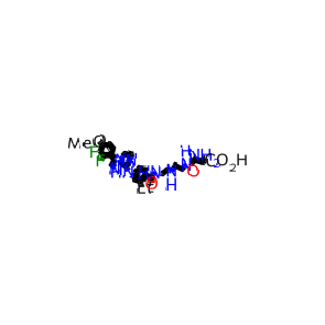 CCc1cc(Nc2nccn3c(-c4ccc(OC)c(F)c4F)cnc23)ccc1C(=O)NCCNCCNC(=O)[C@@H](N)CCC(=O)O